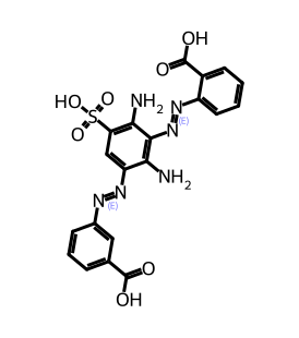 Nc1c(/N=N/c2cccc(C(=O)O)c2)cc(S(=O)(=O)O)c(N)c1/N=N/c1ccccc1C(=O)O